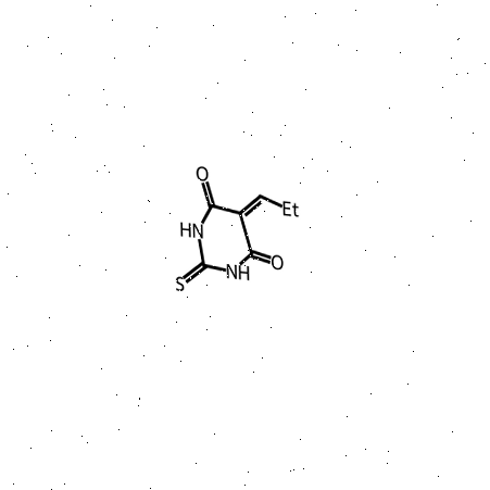 CCC=C1C(=O)NC(=S)NC1=O